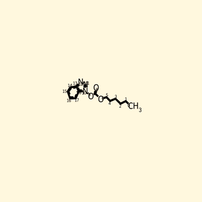 CCCCCCOC(=O)On1nnc2ccccc21